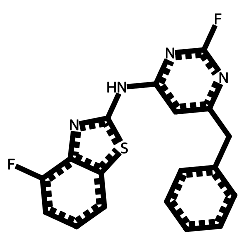 Fc1nc(Cc2ccccc2)cc(Nc2nc3c(F)cccc3s2)n1